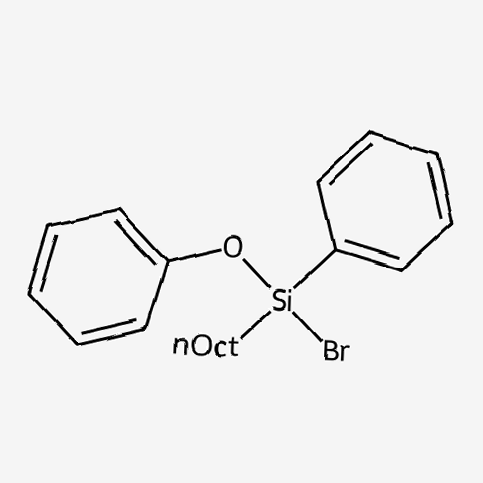 CCCCCCCC[Si](Br)(Oc1ccccc1)c1ccccc1